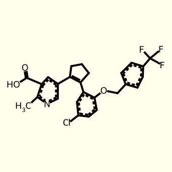 Cc1ncc(C2=C(c3cc(Cl)ccc3OCc3ccc(C(F)(F)F)cc3)CCC2)cc1C(=O)O